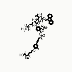 CC(C)[C@H](NC(=O)OCC1c2ccccc2-c2ccccc21)C(=N)N[C@@H](CCCNC(N)=O)C(=O)Nc1ccc(COC(=O)N(C)CC#Cc2ccc(OCCCc3scnc3C(=O)O)c(F)c2)c(S(=O)(=O)O)c1